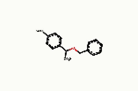 COc1ccc(C(OCc2ccccc2)C(=O)O)cc1